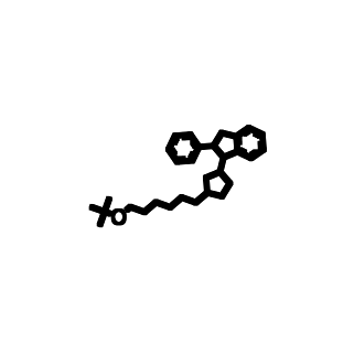 CC(C)(C)OCCCCCCC1CCC(C2c3ccccc3CC2c2ccccc2)C1